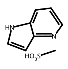 CS(=O)(=O)O.c1cnc2cc[nH]c2c1